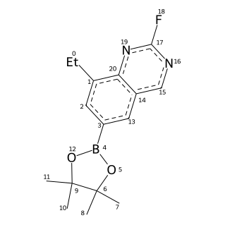 CCc1cc(B2OC(C)(C)C(C)(C)O2)cc2cnc(F)nc12